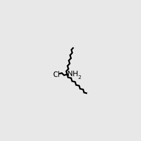 CCCCCCCCCCC(N)(CCCl)CCCCCCCCCC